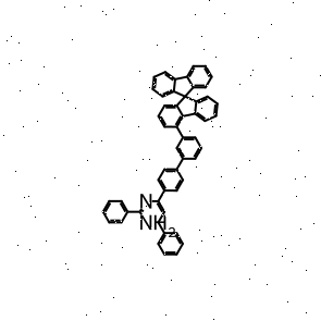 N/C(=N\C(=C/Cc1ccccc1)c1ccc(-c2cccc(-c3cccc4c3-c3ccccc3C43c4ccccc4-c4ccccc43)c2)cc1)c1ccccc1